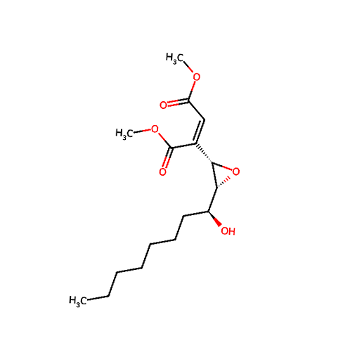 CCCCCCC[C@H](O)[C@H]1O[C@H]1C(=CC(=O)OC)C(=O)OC